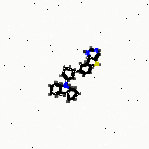 c1cc(-c2ccc3sc4cncnc4c3c2)cc(-n2c3ccccc3c3ccccc32)c1